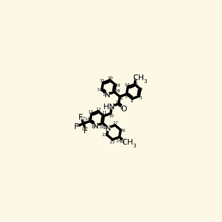 Cc1cccc(C(C(=O)NCc2ccc(C(F)(F)F)nc2N2CCC(C)CC2)c2ccccn2)c1